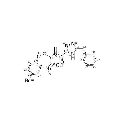 CN1C(=O)C(NC(=O)c2nnc(Cc3ccccc3)[nH]2)COc2ccc(Br)cc21